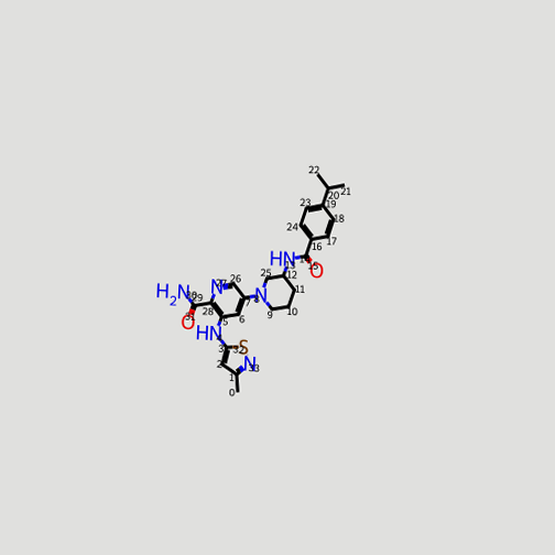 Cc1cc(Nc2cc(N3CCCC(NC(=O)c4ccc(C(C)C)cc4)C3)cnc2C(N)=O)sn1